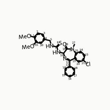 COc1ccc(CNC(=S)NC2N=C(c3ccccc3)c3cc(Cl)ccc3N(C)C2=O)cc1OC